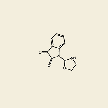 O=C1C(=O)N(C2NCCO2)c2ccccc21